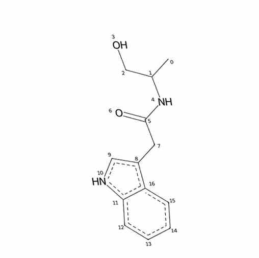 CC(CO)NC(=O)Cc1c[nH]c2ccccc12